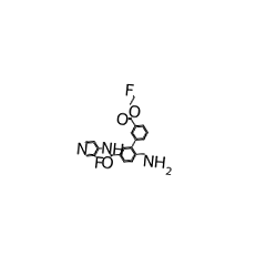 NCc1ccc(C(=O)Nc2ccncc2F)cc1-c1cccc(C(=O)OCCF)c1